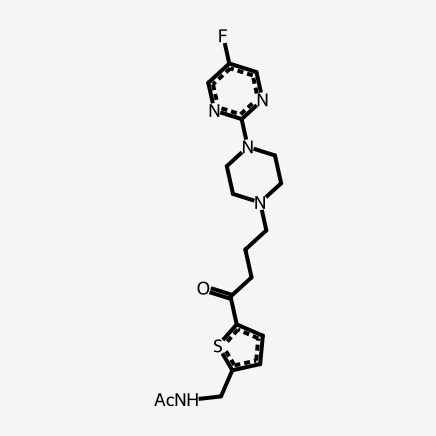 CC(=O)NCc1ccc(C(=O)CCCN2CCN(c3ncc(F)cn3)CC2)s1